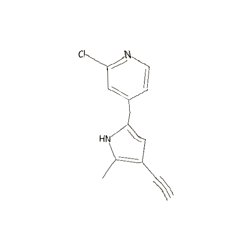 C#Cc1cc(-c2ccnc(Cl)c2)[nH]c1C